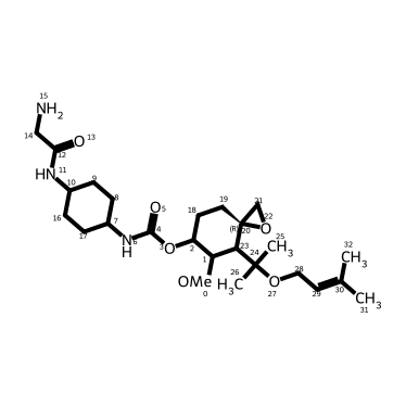 COC1C(OC(=O)NC2CCC(NC(=O)CN)CC2)CC[C@]2(CO2)C1C(C)(C)OCC=C(C)C